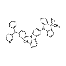 Cc1cc(P(c2ccccc2)c2cccnc2)ccc1-n1c2ccccc2c2cc(N3c4ccccc4C(C)(C)c4ccccc43)ccc21